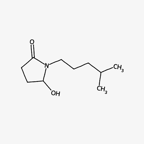 CC(C)CCCN1C(=O)CCC1O